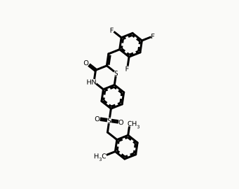 Cc1cccc(C)c1CS(=O)(=O)c1ccc2c(c1)NC(=O)C(=Cc1c(F)cc(F)cc1F)S2